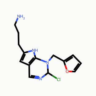 NCCCc1cc2c([nH]1)N(Cc1ccco1)C(Cl)N=C2